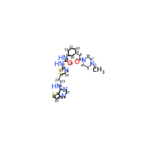 CCN1CCN(C(=O)Cc2cccc(NC(=O)Nc3ncc(CCNc4ncnc5ccsc45)s3)c2)CC1